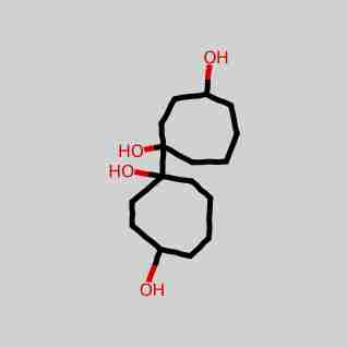 OC1CCCCC(O)(C2(O)CCCCC(O)CC2)CC1